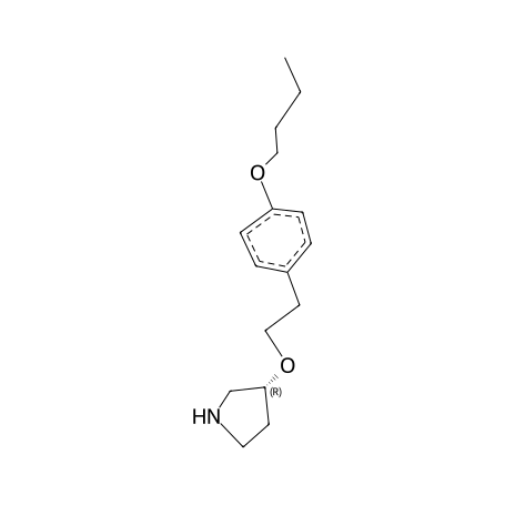 CCCCOc1ccc(CCO[C@@H]2CCNC2)cc1